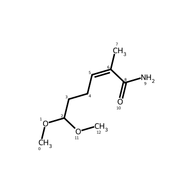 COC(CCC=C(C)C(N)=O)OC